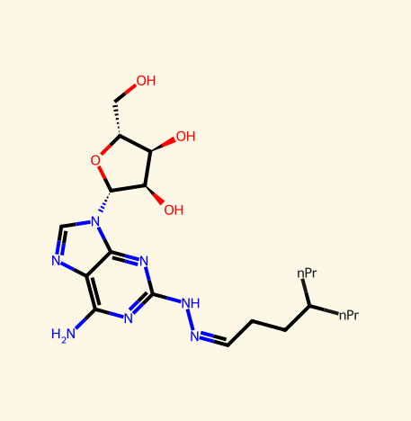 CCCC(CCC)CC/C=N\Nc1nc(N)c2ncn([C@@H]3O[C@H](CO)[C@@H](O)[C@H]3O)c2n1